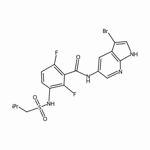 CC(C)CS(=O)(=O)Nc1ccc(F)c(C(=O)Nc2cnc3[nH]cc(Br)c3c2)c1F